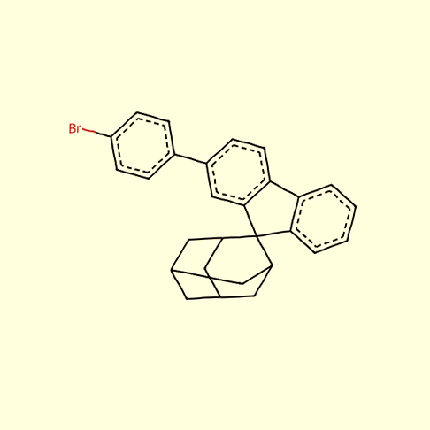 Brc1ccc(-c2ccc3c(c2)C2(c4ccccc4-3)C3CC4CC(C3)CC2C4)cc1